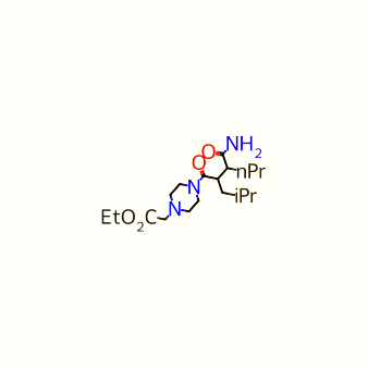 CCCC(C(N)=O)C(CC(C)C)C(=O)N1CCN(CC(=O)OCC)CC1